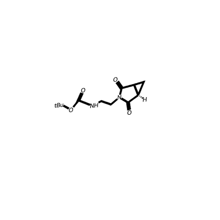 CC(C)(C)OC(=O)NCCN1C(=O)C2C[C@H]2C1=O